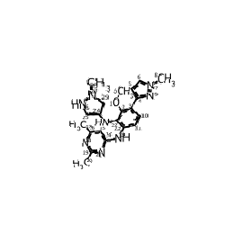 COc1c(-c2ccn(C)n2)ccc(Nc2cc(C)nc(C)n2)c1NC1=CNN(C)C1